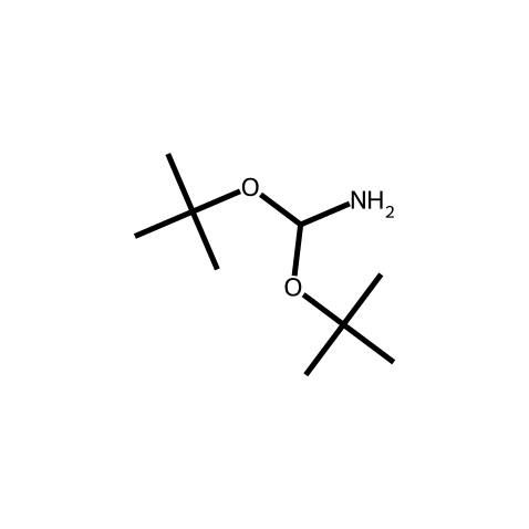 CC(C)(C)OC(N)OC(C)(C)C